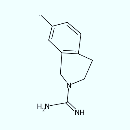 [CH2]c1ccc2c(c1)CN(C(=N)N)CC2